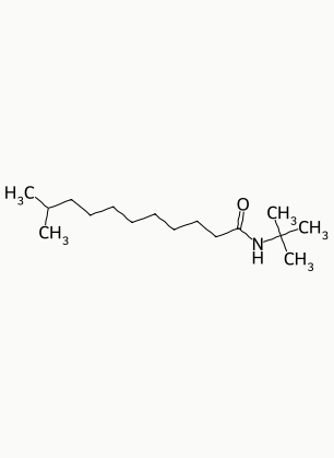 CC(C)CCCCCCCCC(=O)NC(C)(C)C